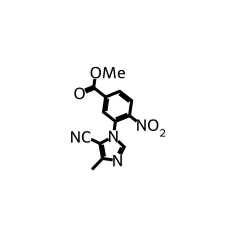 COC(=O)c1ccc([N+](=O)[O-])c(-n2cnc(C)c2C#N)c1